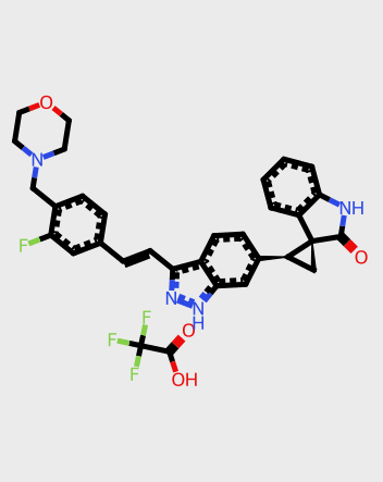 O=C(O)C(F)(F)F.O=C1Nc2ccccc2[C@]12C[C@H]2c1ccc2c(/C=C/c3ccc(CN4CCOCC4)c(F)c3)n[nH]c2c1